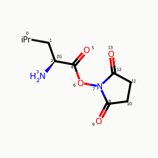 CC(C)C[C@H](N)C(=O)ON1C(=O)CCC1=O